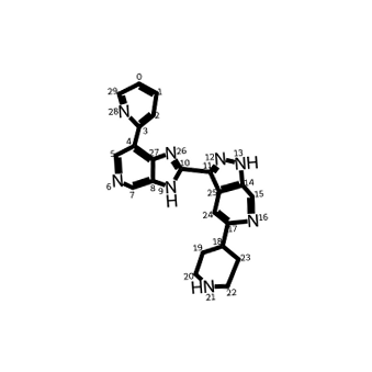 c1ccc(-c2cncc3[nH]c(-c4n[nH]c5cnc(C6CCNCC6)cc45)nc23)nc1